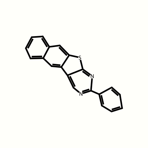 c1ccc(-c2ncc3c(n2)sc2cc4ccccc4cc23)cc1